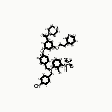 [C-]#[N+]c1ccc(CN(Cc2ccc(Oc3cc(OCCc4cccnc4)cc(C(=O)N4CCOCC4)c3)cc2)c2cccc(NS(C)(=O)=O)c2C)cc1